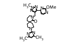 COc1nccc(-c2nn(C)nc2CN2CCCC3(CCN(c4nc(C)cc(C)n4)CC3)C2=O)n1